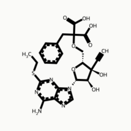 C#C[C@@]1(O)[C@@H](COC(Cc2ccccc2)(C(=O)O)C(=O)O)O[C@@H](n2cnc3c(N)nc(SCC)nc32)[C@@H]1O